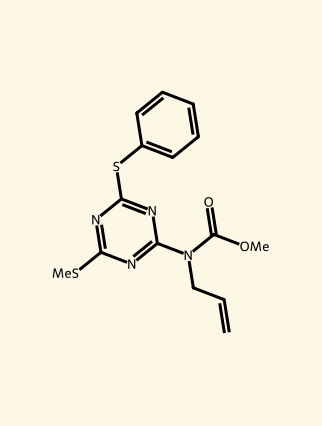 C=CCN(C(=O)OC)c1nc(SC)nc(Sc2ccccc2)n1